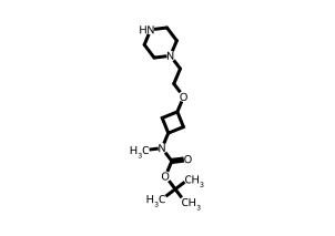 CN(C(=O)OC(C)(C)C)C1CC(OCCN2CCNCC2)C1